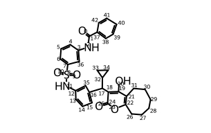 O=C(Nc1cccc(S(=O)(=O)Nc2cccc(C(c3c(O)c4c(oc3=O)CCCCCC4)C3CC3)c2)c1)c1ccccc1